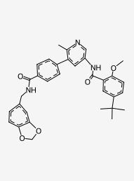 COc1ccc(C(C)(C)C)cc1C(=O)Nc1cnc(C)c(-c2ccc(C(=O)NCc3ccc4c(c3)OCO4)cc2)c1